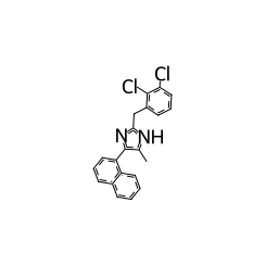 Cc1[nH]c(Cc2cccc(Cl)c2Cl)nc1-c1cccc2ccccc12